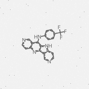 FC(F)(F)c1ccc(Nc2c3cnccc3nc3c2[nH]c2ccncc23)cc1